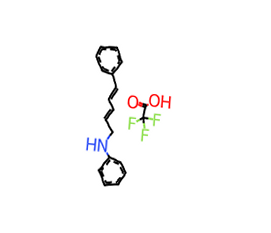 C(=CCNc1ccccc1)/C=C/c1ccccc1.O=C(O)C(F)(F)F